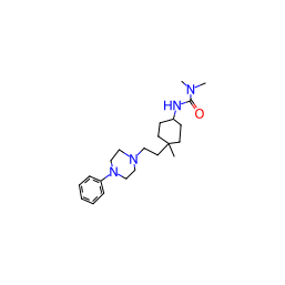 CN(C)C(=O)NC1CCC(C)(CCN2CCN(c3ccccc3)CC2)CC1